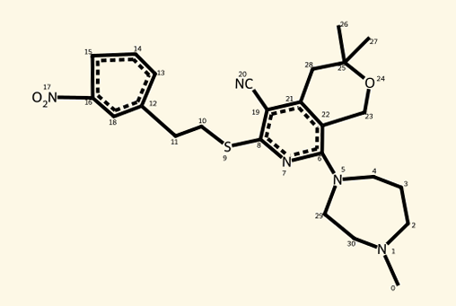 CN1CCCN(c2nc(SCCc3cccc([N+](=O)[O-])c3)c(C#N)c3c2COC(C)(C)C3)CC1